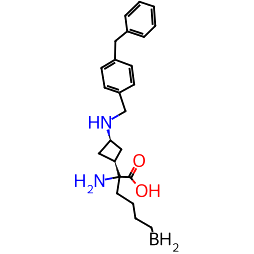 BCCCCC(N)(C(=O)O)[C@H]1C[C@@H](NCc2ccc(Cc3ccccc3)cc2)C1